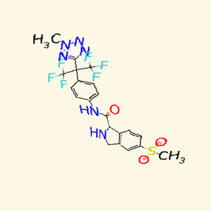 Cn1nnc(C(c2ccc(NC(=O)C3NCc4cc(S(C)(=O)=O)ccc43)cc2)(C(F)(F)F)C(F)(F)F)n1